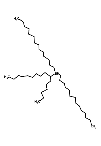 CCCCCCCCCCCCCC[SiH](CCCCCCCCCCCCCC)C(CCCCCC)CCCCCCCCC